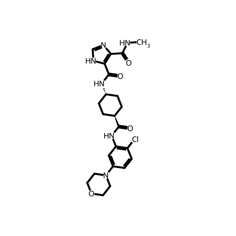 CNC(=O)c1nc[nH]c1C(=O)N[C@H]1CC[C@H](C(=O)Nc2cc(N3CCOCC3)ccc2Cl)CC1